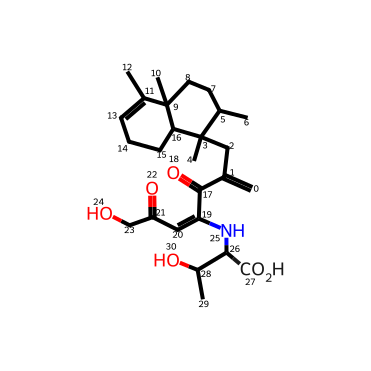 C=C(CC1(C)C(C)CCC2(C)C(C)=CCCC21)C(=O)/C(=C\C(=O)CO)NC(C(=O)O)C(C)O